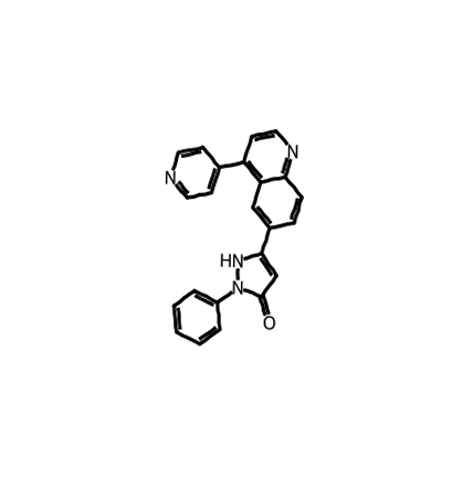 O=c1cc(-c2ccc3nccc(-c4ccncc4)c3c2)[nH]n1-c1ccccc1